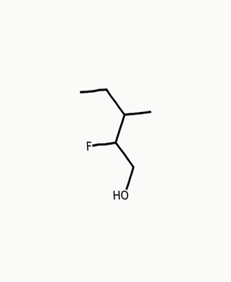 CCC(C)C(F)CO